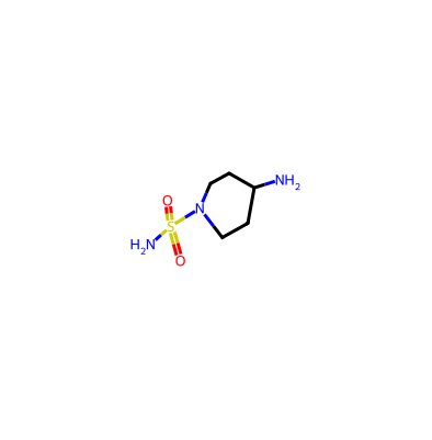 NC1CCN(S(N)(=O)=O)CC1